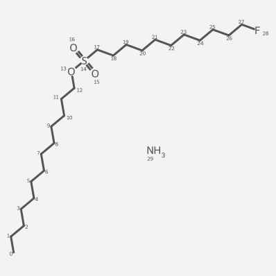 CCCCCCCCCCCCCOS(=O)(=O)CCCCCCCCCCCF.N